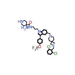 NC1(C(=O)NCCCn2cc(-c3ccc(OC(F)(F)F)cc3)c3cc(CN4CCC5(CC4)CN(Cc4c(Cl)cccc4Cl)C5)ccc32)CCNCC1